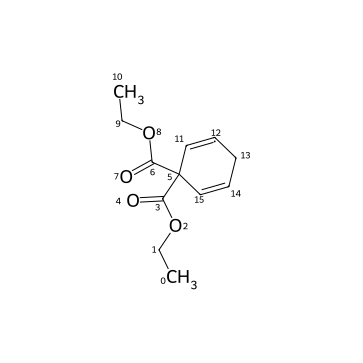 CCOC(=O)C1(C(=O)OCC)C=[C]CC=C1